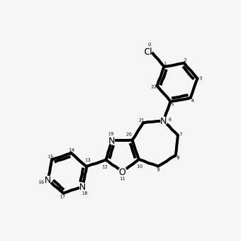 Clc1cccc(N2CCCc3oc(-c4ccncn4)nc3C2)c1